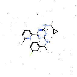 CC(Nc1nc(N[C@H](C)C2CC2)nc(-c2cccc(C(F)(F)F)n2)n1)c1cccc(F)c1